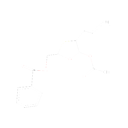 C=CCC1SC(COC(=O)c2ccccc2)OC1OC(C)=O